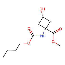 CCCCOC(=O)N[C@]1(C(=O)OC)C[C@H](O)C1